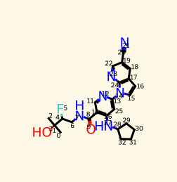 CC(C)(O)C(F)CNC(=O)c1cnc(-n2ccc3cc(C#N)cnc32)cc1NC1CCCC1